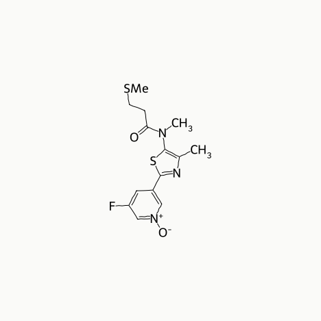 CSCCC(=O)N(C)c1sc(-c2cc(F)c[n+]([O-])c2)nc1C